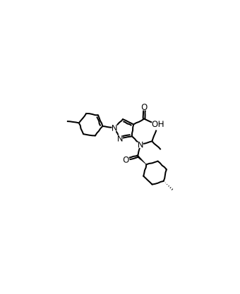 CC1CC=C(n2cc(C(=O)O)c(N(C(=O)[C@H]3CC[C@H](C)CC3)C(C)C)n2)CC1